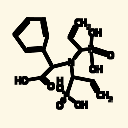 C=CC(N(C(C(=O)O)c1ccccc1)C(C=C)P(=O)(O)O)P(=O)(O)O